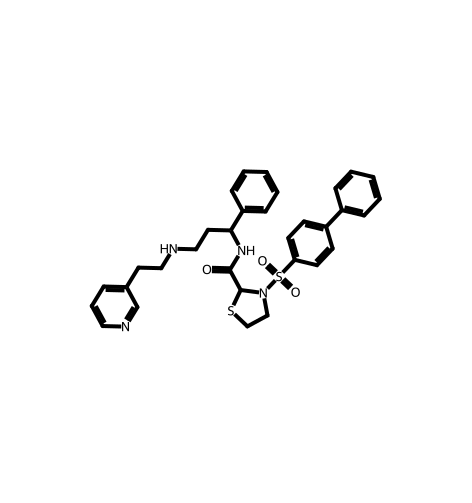 O=C(NC(CCNCCc1cccnc1)c1ccccc1)C1SCCN1S(=O)(=O)c1ccc(-c2ccccc2)cc1